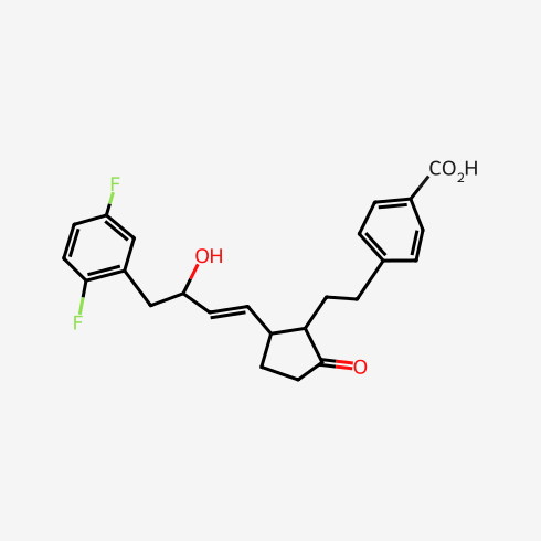 O=C(O)c1ccc(CCC2C(=O)CCC2C=CC(O)Cc2cc(F)ccc2F)cc1